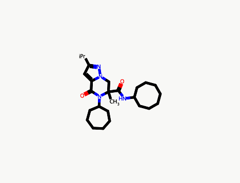 CC(C)c1cc2n(n1)CC(C)(C(=O)NC1CCCCCCC1)N(C1CCCCCC1)C2=O